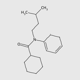 CC(C)CCN(C(=O)C1CCCCC1)C1=CC=CC[CH]1